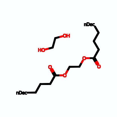 CCCCCCCCCCCCCC(=O)OCCOC(=O)CCCCCCCCCCCCC.OCCO